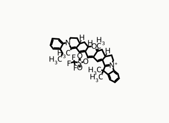 CCc1ccccc1N1CC[C@@H]2C[C@@H]3OC4(C)C[C@@H]5CC[N+]6=C(C5=CC4=C(OS(=O)(=O)C(F)(F)F)C3=CC2=C1C)C(C)(C)c1ccccc16